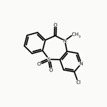 CN1C(=O)c2ccccc2S(=O)(=O)c2cc(Cl)ncc21